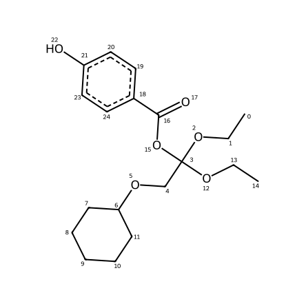 CCOC(COC1CCCCC1)(OCC)OC(=O)c1ccc(O)cc1